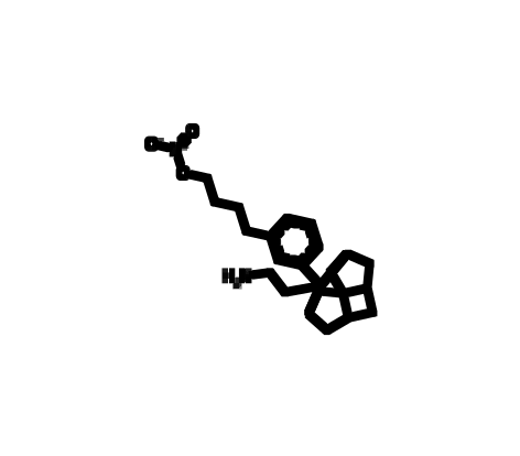 NCCC1(c2cccc(CCCCO[N+](=O)[O-])c2)C2CC3CC4CC1CC34C2